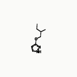 CCC(C)COc1cc[nH]n1